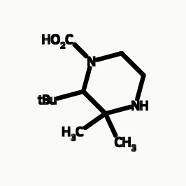 CC(C)(C)C1N(C(=O)O)CCNC1(C)C